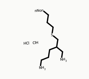 CCCCCCCCCCCCSCC(CN)CCCN.Cl.Cl